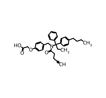 C#CCCC(=O)N(Cc1ccc(OCC(=O)O)cc1)C(CC)(c1ccccc1)c1ccc(CCCC)cc1